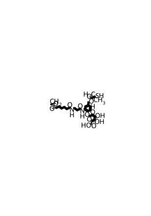 C=CS(=O)(=O)CCCCCC(=O)NCCC(=O)Nc1cc(COC(=O)C(C)(C)S)ccc1O[C@@H]1O[C@H](C(=O)O)[C@@H](O)[C@H](O)[C@H]1O